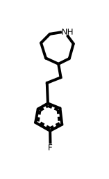 Fc1ccc(CCC2CCCNCC2)cc1